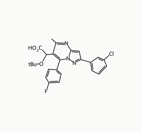 Cc1nc2cc(-c3cccc(Cl)c3)nn2c(-c2ccc(F)cc2)c1C(OC(C)(C)C)C(=O)O